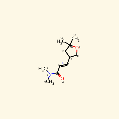 CN(C)C(=O)/C=C/C1COC(C)(C)C1